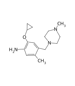 Cc1cc(N)c(OC2CC2)cc1CN1CCN(C)CC1